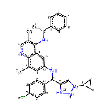 CC[C@@H](Nc1c(C#N)cnc2c(C(F)(F)F)cc(NC(C3=CN(C4CC4)NN3)c3ccc(F)cc3)cc12)c1ccccc1